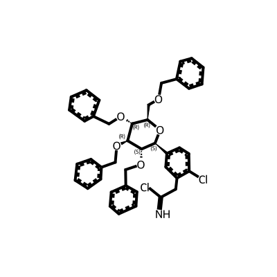 N=C(Cl)Cc1cc([C@@H]2O[C@H](COCc3ccccc3)[C@@H](OCc3ccccc3)[C@H](OCc3ccccc3)[C@H]2OCc2ccccc2)ccc1Cl